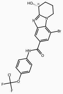 O=C(Nc1ccc(OC(F)(F)Cl)cc1)c1cc(Br)c2c(c1)nc1n2CCC[C@H]1O